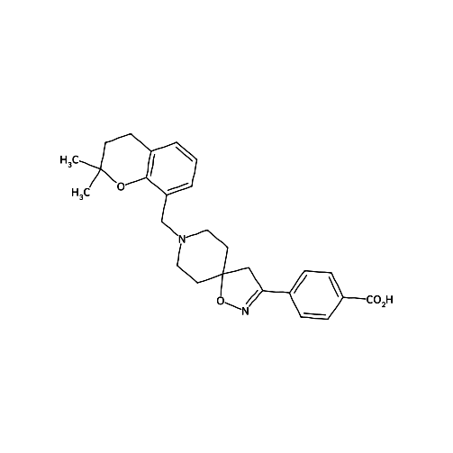 CC1(C)CCc2cccc(CN3CCC4(CC3)CC(c3ccc(C(=O)O)cc3)=NO4)c2O1